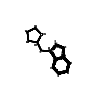 c1ccc2c(c1)cnn2CC1CCCO1